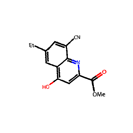 CCc1cc(C#N)c2nc(C(=O)OC)cc(O)c2c1